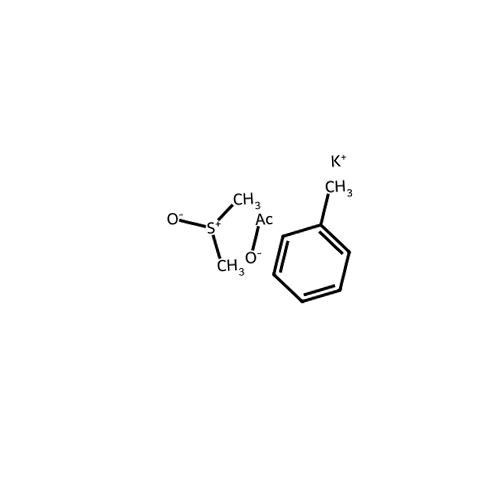 CC(=O)[O-].C[S+](C)[O-].Cc1ccccc1.[K+]